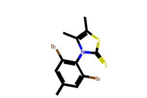 Cc1cc(Br)c(-n2c(C)c(C)sc2=S)c(Br)c1